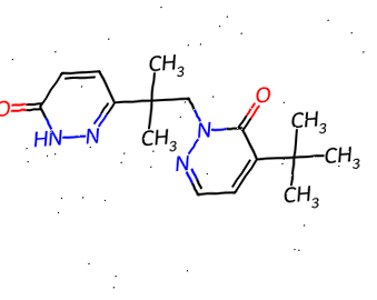 CC(C)(C)c1ccnn(CC(C)(C)c2ccc(=O)[nH]n2)c1=O